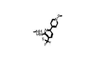 CNNc1nc(C2=CCN(SC)CC2)ccc1C(F)(F)F